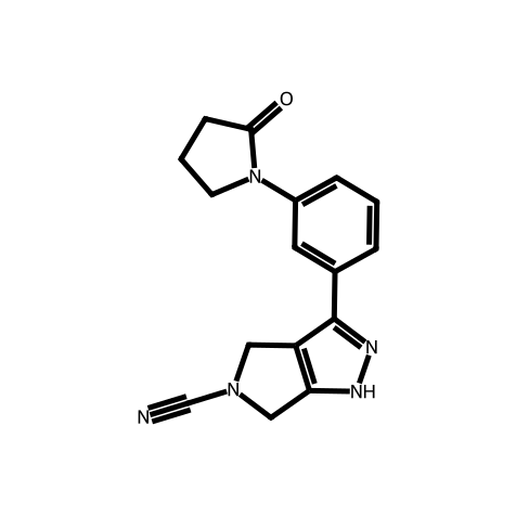 N#CN1Cc2[nH]nc(-c3cccc(N4CCCC4=O)c3)c2C1